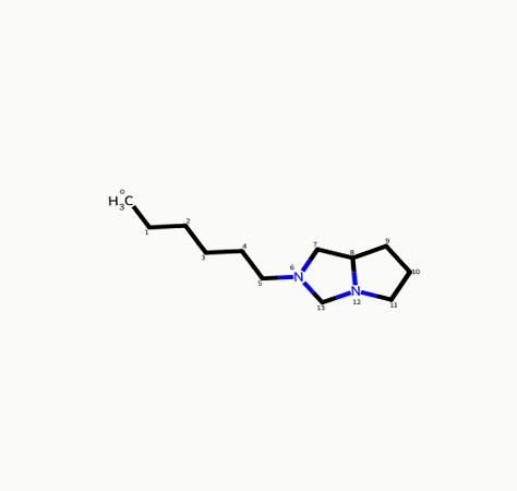 CCCCCCN1CC2CCCN2C1